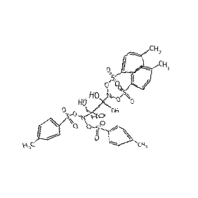 Cc1ccc(S(=O)(=O)ON(OS(=O)(=O)c2ccc(C)cc2)C(O)(O)C(O)(O)N(OS(=O)(=O)c2ccc(C)cc2)OS(=O)(=O)c2ccc(C)cc2)cc1